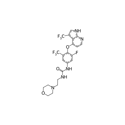 O=C(NCCN1CCOCC1)Nc1cc(F)c(Oc2ccnc3[nH]cc(C(F)(F)F)c23)c(C(F)(F)F)c1